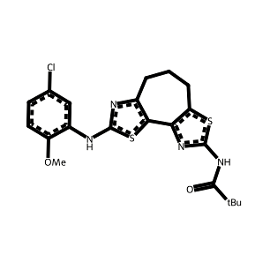 COc1ccc(Cl)cc1Nc1nc2c(s1)-c1nc(NC(=O)C(C)(C)C)sc1CCC2